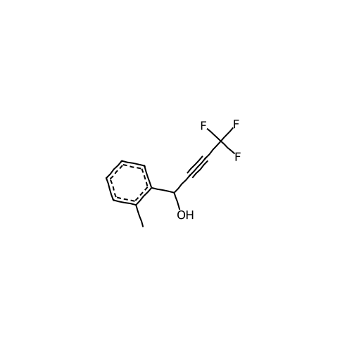 Cc1ccccc1C(O)C#CC(F)(F)F